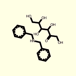 O=C(CO)C(O)C(O)C(O)CO.c1ccc(CNCc2ccccc2)cc1